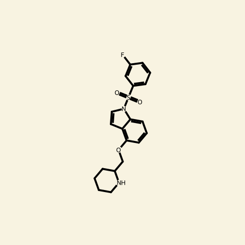 O=S(=O)(c1cccc(F)c1)n1ccc2c(OCC3CCCCN3)cccc21